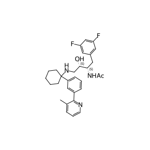 CC(=O)N[C@@H](Cc1cc(F)cc(F)c1)[C@@H](O)CNC1(c2cccc(-c3ncccc3C)c2)CCCCC1